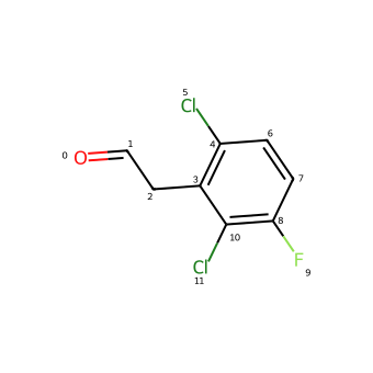 O=CCc1c(Cl)ccc(F)c1Cl